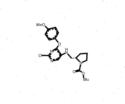 COc1ccc(Oc2nc(Cl)ncc2NC[C@@H]2CCCN2C(=O)OC(C)(C)C)cc1